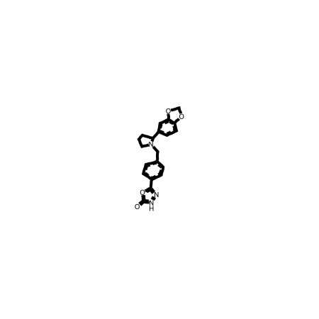 O=c1[nH]nc(-c2ccc(CN3CCCC3c3ccc4c(c3)OCO4)cc2)o1